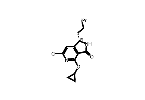 CC(C)CC[C@@H]1NC(=O)c2c1cc(Cl)nc2OC1CC1